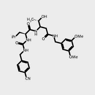 COc1cc(CNC(=O)CC(NC(=O)[C@H](CC(C)C)NC(=O)NCc2ccc(C#N)cc2)[C@H](C)O)cc(OC)c1